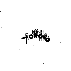 CC#CC(=O)N[C@H]1CC[C@H](n2nc(-c3ccc(C(=O)Nc4ccccn4)cc3)c3c(N)ncnc32)CC1